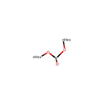 CCCCCCOB([O])OCCCCCC